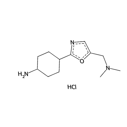 CN(C)Cc1cnc(C2CCC(N)CC2)o1.Cl